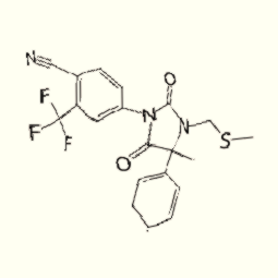 CSCN1C(=O)N(c2ccc(C#N)c(C(F)(F)F)c2)C(=O)C1(C)C1=CC[CH]C=C1